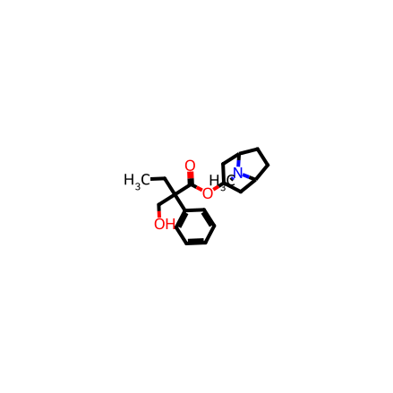 CCC(CO)(C(=O)OC1CC2CCC(C1)N2C)c1ccccc1